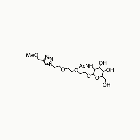 COCc1cn(CCOCCOCCOC2OC(CO)C(O)C(O)C2NC(C)=O)nn1